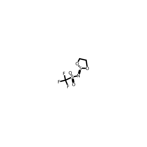 O=S(=O)(N=S1OCCO1)C(F)(F)F